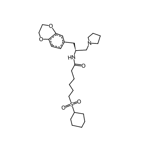 O=C(CCCCCS(=O)(=O)C1CCCCC1)N[C@@H](Cc1ccc2c(c1)OCCO2)CN1CCCC1